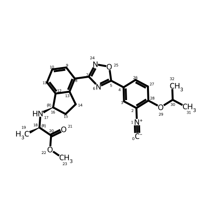 [C-]#[N+]c1cc(-c2nc(-c3cccc4c3CC[C@H]4N[C@H](C)C(=O)OC)no2)ccc1OC(C)C